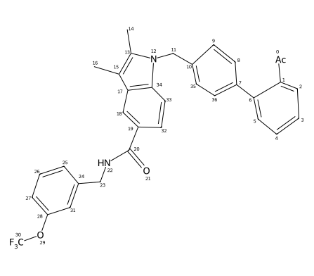 CC(=O)c1ccccc1-c1ccc(Cn2c(C)c(C)c3cc(C(=O)NCc4cccc(OC(F)(F)F)c4)ccc32)cc1